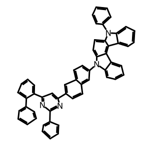 c1ccc(-c2nc(-c3ccc4cc(-n5c6ccccc6c6c7c8ccccc8n(-c8ccccc8)c7ccc65)ccc4c3)cc(-c3ccccc3-c3ccccc3)n2)cc1